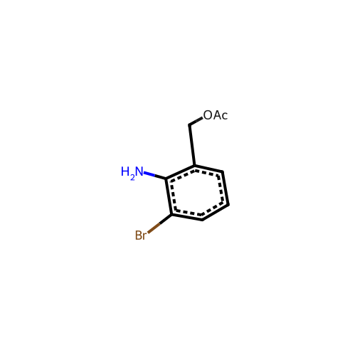 CC(=O)OCc1cccc(Br)c1N